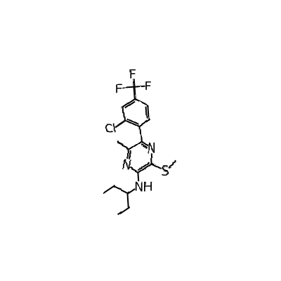 CCC(CC)Nc1nc(C)c(-c2ccc(C(F)(F)F)cc2Cl)nc1SC